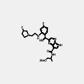 COCC(C)NC(=O)c1c[nH]c2ncc(C(=N)c3ccc(F)cc3NCCN3CCC(F)C3)nc12